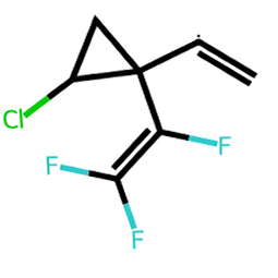 C=[C]C1(C(F)=C(F)F)CC1Cl